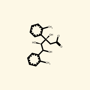 Cc1ccccc1C(O)[C@@H](O)[C@@](O)(CC(=O)Cl)c1ccccc1C